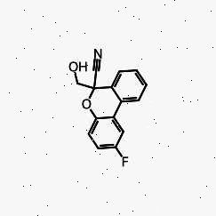 N#CC1(CO)Oc2ccc(F)cc2-c2ccccc21